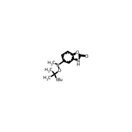 CB(OC(C)(C)C(C)(C)C)c1ccc2oc(=O)[nH]c2c1